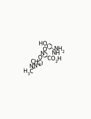 Cc1cn(-c2cccc(Oc3cc(C(=O)O)cc(Oc4cc(C(=N)N)ccc4O)n3)c2)c(C)n1